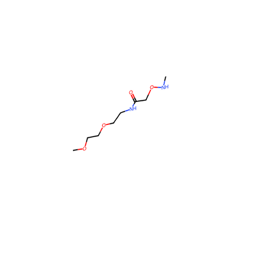 CNOCC(=O)NCCOCCOC